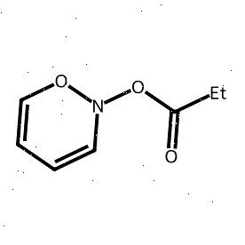 CCC(=O)ON1C=CC=CO1